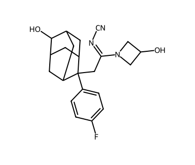 N#CN=C(CC1(c2ccc(F)cc2)C2CC3CC1CC(C2)C3O)N1CC(O)C1